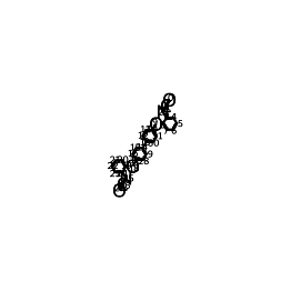 O=C=Nc1ccccc1Oc1ccc(-c2ccc(Oc3ccccc3N=C=O)cc2)cc1